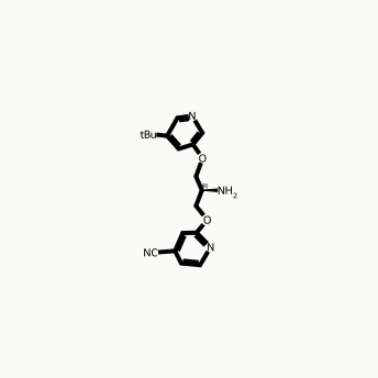 CC(C)(C)c1cncc(OC[C@@H](N)COc2cc(C#N)ccn2)c1